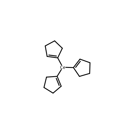 C1=[C]([Ce]([C]2=CCCC2)[C]2=CCCC2)CCC1